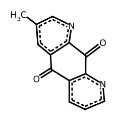 Cc1cnc2c(c1)C(=O)c1cccnc1C2=O